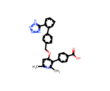 Cc1cc(OCc2ccc(-c3ccccc3-c3nnn[nH]3)cc2)c(-c2ccc(C(=O)O)cc2)c(C)n1